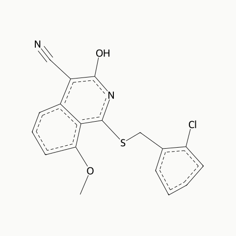 COc1cccc2c(C#N)c(O)nc(SCc3ccccc3Cl)c12